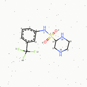 O=S(=O)(Nc1cccc(C(F)(F)F)c1)C1CNCCN1